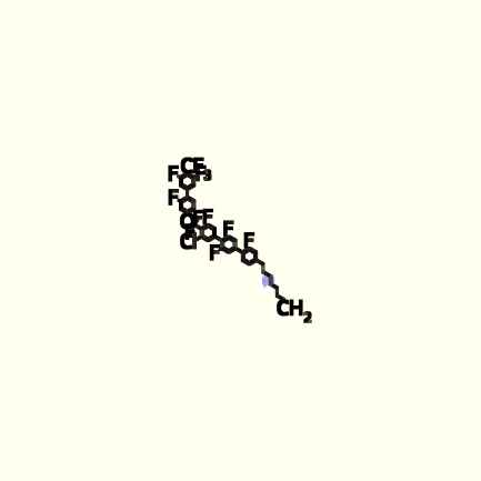 C=CCC/C=C/CCc1ccc(-c2cc(F)c(-c3cc(F)c(C(F)(F)Oc4ccc(-c5cc(F)c(C(F)(F)F)c(F)c5)c(F)c4)c(Cl)c3)c(F)c2)c(F)c1